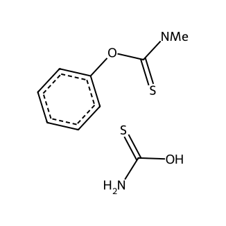 CNC(=S)Oc1ccccc1.NC(O)=S